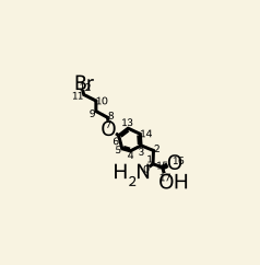 NC(Cc1ccc(OCCCCBr)cc1)C(=O)O